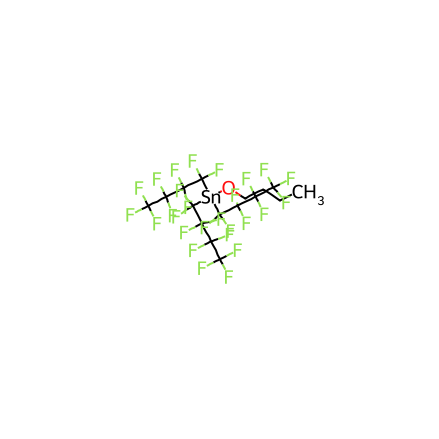 CCCC[O][Sn]([C](F)(F)C(F)(F)C(F)(F)C(F)(F)F)([C](F)(F)C(F)(F)C(F)(F)C(F)(F)F)[C](F)(F)C(F)(F)C(F)(F)C(F)(F)F